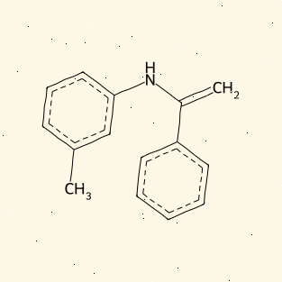 C=C(Nc1cccc(C)c1)c1ccccc1